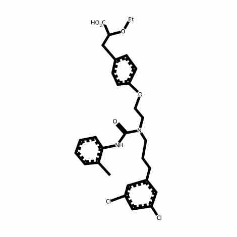 CCOC(Cc1ccc(OCCN(CCCc2cc(Cl)cc(Cl)c2)C(=O)Nc2ccccc2C)cc1)C(=O)O